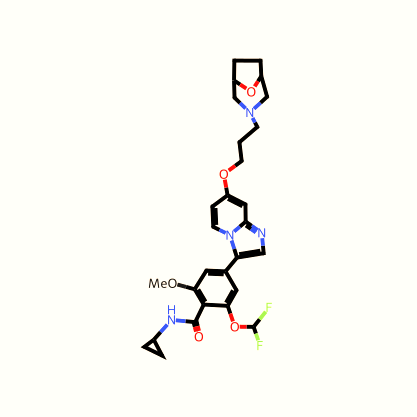 COc1cc(-c2cnc3cc(OCCCN4CC5CCC(C4)O5)ccn23)cc(OC(F)F)c1C(=O)NC1CC1